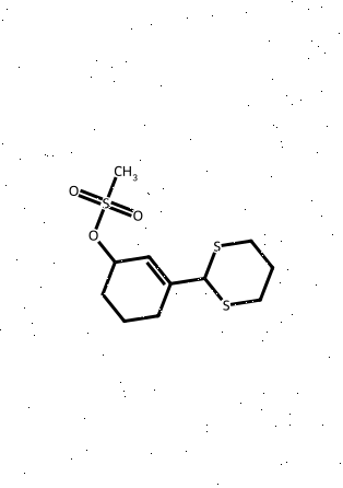 CS(=O)(=O)OC1C=C(C2SCCCS2)CCC1